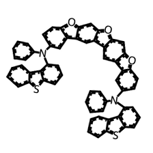 c1ccc(N(c2ccc3oc4cc5oc6cc7oc8ccc(N(c9ccccc9)c9cccc%10sc%11ccccc%11c9%10)cc8c7cc6c5cc4c3c2)c2cccc3sc4ccccc4c23)cc1